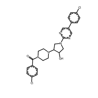 O=C(c1ccc(Cl)cc1)N1CCN(C2CN(c3ncc(-c4ccc(Cl)cc4)cn3)CC2O)CC1